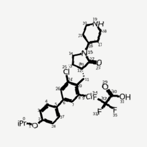 CC(C)Oc1ccc(-c2cc(Cl)c(C[C@@H]3CCN(C4CCNCC4)C3=O)c(Cl)c2)cc1.O=C(O)C(F)(F)F